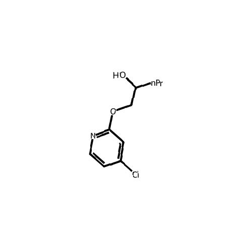 CCCC(O)COc1cc(Cl)ccn1